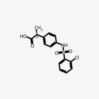 C[C@H](C(=O)O)c1ccc(NS(=O)(=O)c2ccccc2Cl)cc1